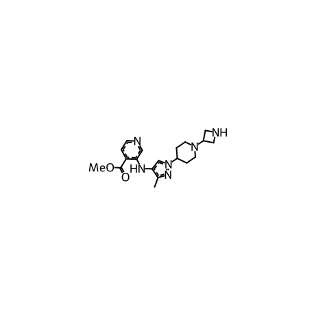 COC(=O)c1ccncc1Nc1cn(C2CCN(C3CNC3)CC2)nc1C